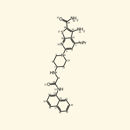 CCCc1cc(N2CCC(NCC(=O)Nc3cccc4ccccc34)CC2)nc2sc(C(N)=O)c(N)c12